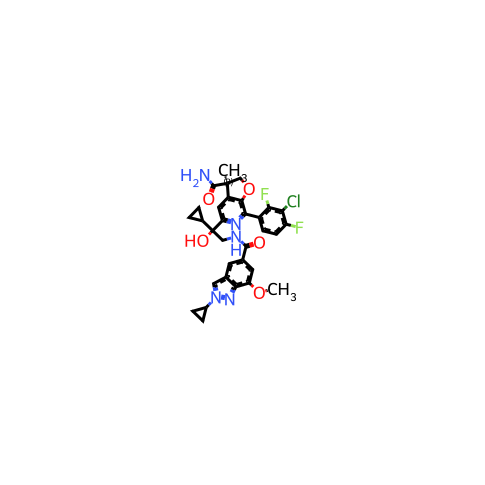 COc1cc(C(=O)NCC(O)(c2cc3c(c(-c4ccc(F)c(Cl)c4F)n2)OC[C@]3(C)C(N)=O)C2CC2)cc2cn(C3CC3)nc12